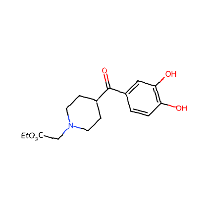 CCOC(=O)CN1CCC(C(=O)c2ccc(O)c(O)c2)CC1